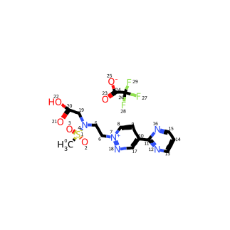 CS(=O)(=O)N(CC[n+]1ccc(-c2ncccn2)cn1)CC(=O)O.O=C([O-])C(F)(F)F